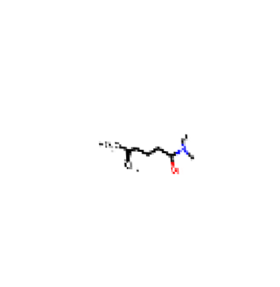 C=C(CCCC(O)N(CC)CC)C(=O)O